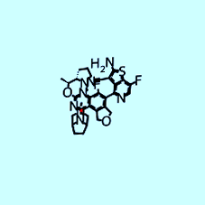 C[C@H](Oc1nc(N2C3CCC2CN(C)C3)c2c3c(c(-c4ncc(F)c5sc(N)c(C#N)c45)c(F)c2n1)COC3)[C@@H]1CCCN1C